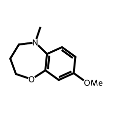 COc1ccc2c(c1)OCCCN2C